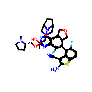 C[C@@H](O)CN1CC2CCC(C1)N2c1nc(OC[C@@H]2CCCN2C)nc2c(F)c(-c3c(F)ccc4sc(N)c(C#N)c34)c3c(c12)COC3